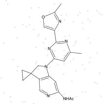 CC(=O)Nc1cc2c(cn1)C1(CC1)CN2c1cc(C)nc(-c2coc(C)n2)n1